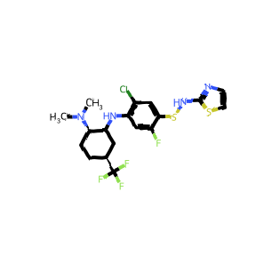 CN(C)[C@@H]1CC[C@H](C(F)(F)F)CC1Nc1cc(F)c(SNc2nccs2)cc1Cl